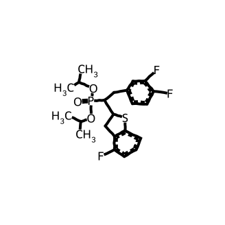 CC(C)OP(=O)(OC(C)C)C(Cc1ccc(F)c(F)c1)C1Cc2c(F)cccc2S1